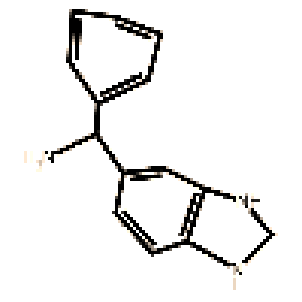 NC(c1ccccc1)c1ccc2c(c1)N[CH]N2